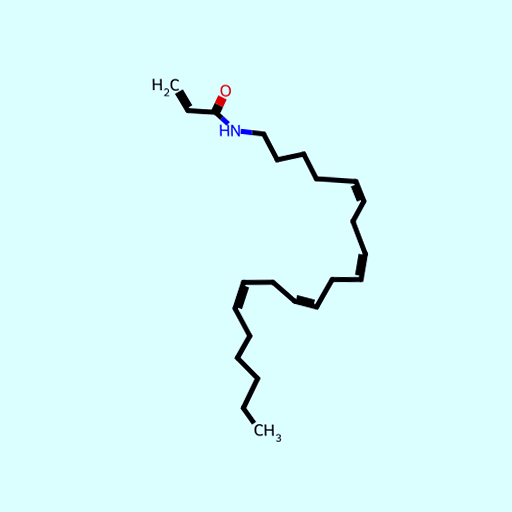 C=CC(=O)NCCCC/C=C\C/C=C\C/C=C\C/C=C\CCCCC